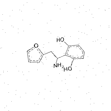 NC(Cc1ccco1)c1c(O)cccc1O